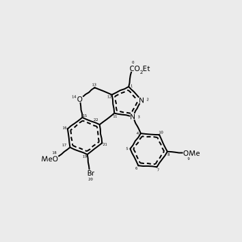 CCOC(=O)c1nn(-c2cccc(OC)c2)c2c1COc1cc(OC)c(Br)cc1-2